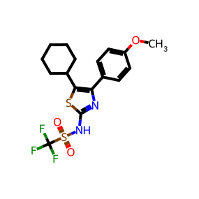 COc1ccc(-c2nc(NS(=O)(=O)C(F)(F)F)sc2C2CCCCC2)cc1